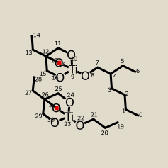 CCCCC(CC)C[O][Ti]12[O]CC(CC)(C[O]1)C[O]2.CCC[O][Ti]12[O]CC(CC)(C[O]1)C[O]2